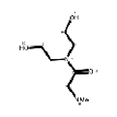 CNCC(=O)N(CCO)CCO